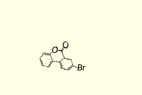 O=c1oc2ccccc2c2ccc(Br)cc12